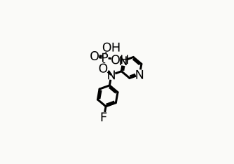 O=P(O)(O)ON(c1ccc(F)cc1)c1cnccn1